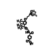 Cc1c(OCCCCN(C)C)ccc(C(C)N2CC(CNC(=O)c3ccc(C(=O)OC(C)C)cc3)C2)c1C